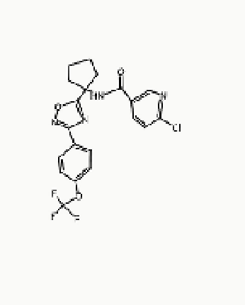 O=C(NC1(c2nc(-c3ccc(OC(F)(F)F)cc3)no2)CCCC1)c1ccc(Cl)nc1